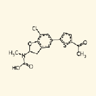 CC(=O)c1ccc(-c2cc(Cl)c3c(c2)CC(N(C)C(=O)O)O3)s1